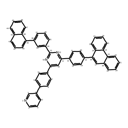 c1cncc(-c2ccc(-c3cc(-c4ccc(-c5cc6ccccc6c6ccccc56)cc4)nc(-c4cccc(-c5cccc6ccccc56)c4)n3)cc2)c1